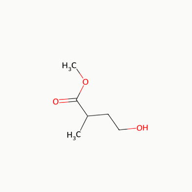 COC(=O)C(C)CCO